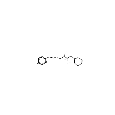 COC(CNCCc1ccc(Br)cc1)[C@H](N)CC1CCCCC1